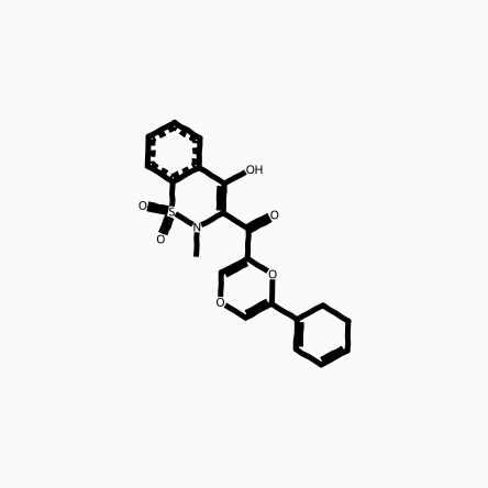 CN1C(C(=O)C2=COC=C(C3=CC=CCC3)O2)=C(O)c2ccccc2S1(=O)=O